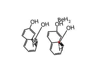 OC1=CC23NC(O)=CC=C2C=CC=C3C=C1.OC1=CC23NC(O)=CC=C2C=CC=C3C=C1.[BeH2]